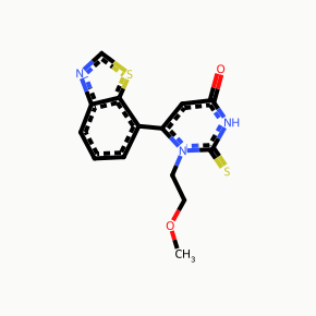 COCCn1c(-c2cccc3ncsc23)cc(=O)[nH]c1=S